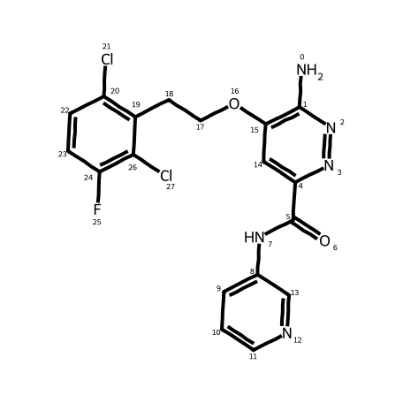 Nc1nnc(C(=O)Nc2cccnc2)cc1OCCc1c(Cl)ccc(F)c1Cl